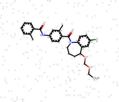 Cc1ccccc1C(=O)Nc1ccc(C(=O)N2CCCC(OCOCC(=O)O)c3cc(Cl)ccc32)c(C)c1